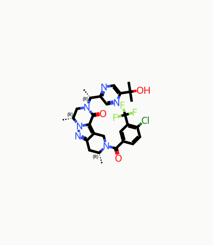 C[C@@H]1Cc2nn3c(c2CN1C(=O)c1ccc(Cl)c(C(F)(F)F)c1)C(=O)N([C@H](C)c1cnc(C(C)(C)O)cn1)C[C@H]3C